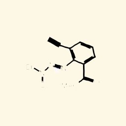 C#Cc1cccc(C(=O)OC)c1/N=N/N(CC)CC